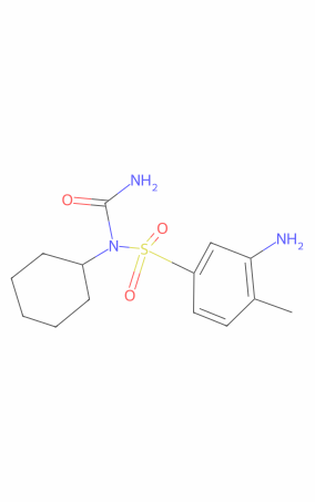 Cc1ccc(S(=O)(=O)N(C(N)=O)C2CCCCC2)cc1N